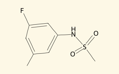 Cc1cc(F)cc(NS(C)(=O)=O)c1